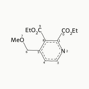 CCOC(=O)c1nccc(COC)c1C(=O)OCC